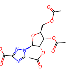 CC(=O)OC[C@@H]1O[C@H](n2cnc(C(=O)O)n2)[C@@H](OC(C)=O)[C@H]1OC(C)=O